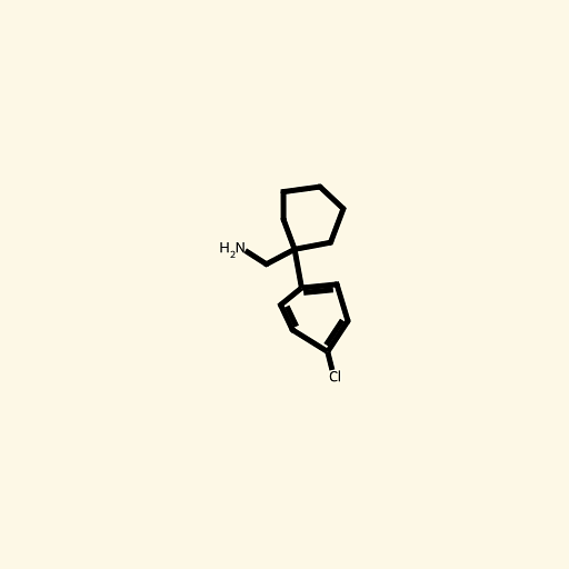 NCC1(c2ccc(Cl)cc2)CCCCC1